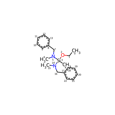 CCO[Si](C)(N(C)Cc1ccccc1)N(C)Cc1ccccc1